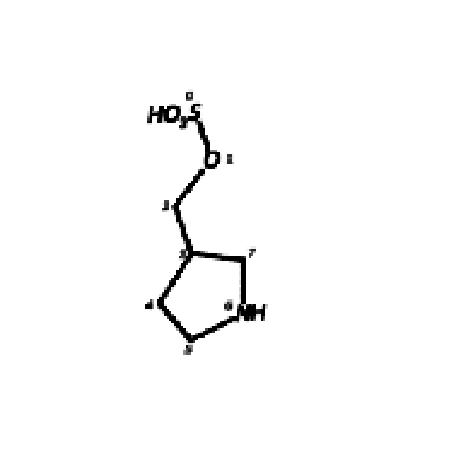 O=S(=O)(O)OCC1CCNC1